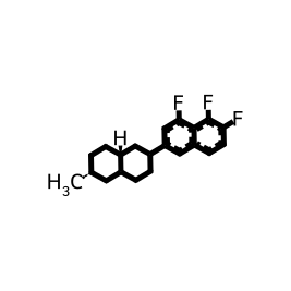 C[C@@H]1CC[C@@H]2CC(c3cc(F)c4c(F)c(F)ccc4c3)CCC2C1